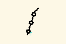 CCCCc1ccc(C#Cc2ccc(C#Cc3ccc(C)c(F)c3)cc2)cc1